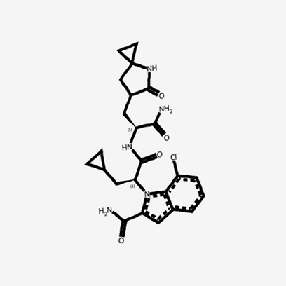 NC(=O)c1cc2cccc(Cl)c2n1[C@@H](CC1CC1)C(=O)N[C@@H](CC1CC2(CC2)NC1=O)C(N)=O